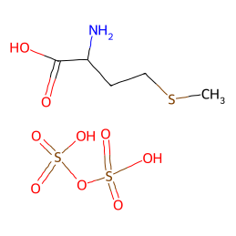 CSCCC(N)C(=O)O.O=S(=O)(O)OS(=O)(=O)O